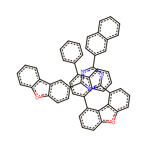 c1ccc(-c2ccc(-c3cccc4oc5cccc(-c6nc(-c7ccc8ccccc8c7)nc(-c7ccc8oc9ccccc9c8c7)n6)c5c34)c3ccccc23)cc1